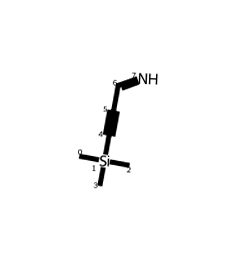 C[Si](C)(C)C#CC=N